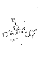 Cc1cc(=O)oc2cc(NC(=O)C(CCCCN)NC(=O)C(Cc3ccccc3)NC(=O)C(C)N)ccc12